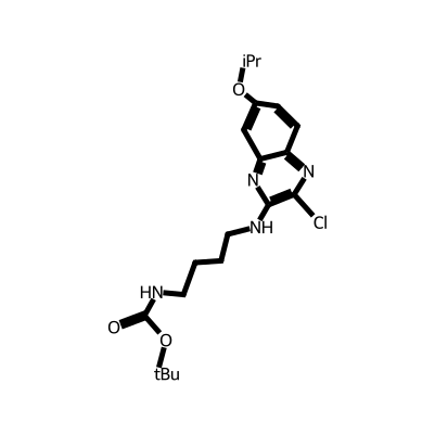 CC(C)Oc1ccc2nc(Cl)c(NCCCCNC(=O)OC(C)(C)C)nc2c1